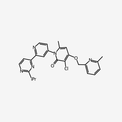 Cc1cccc(COc2cc(C)n(-c3ccnc(-c4ccnc(C(C)C)n4)c3)c(=O)c2Cl)n1